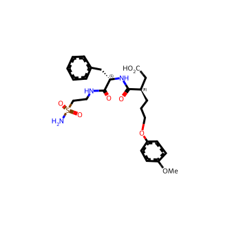 COc1ccc(OCCC[C@H](CC(=O)O)C(=O)N[C@@H](Cc2ccccc2)C(=O)NCCS(N)(=O)=O)cc1